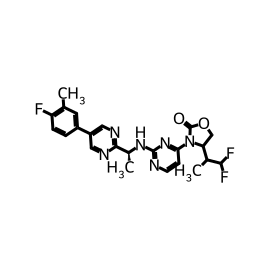 Cc1cc(-c2cnc([C@H](C)Nc3nccc(N4C(=O)OCC4C(C)C(F)F)n3)nc2)ccc1F